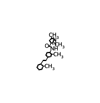 Cc1cc(C(=O)Nc2ccc(C=Cc3ccccc3C)cc2C)n(C)n1